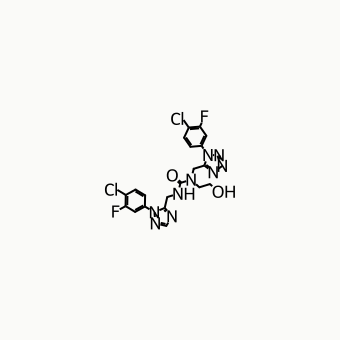 O=C(NCc1ncnn1-c1ccc(Cl)c(F)c1)N(CCO)Cc1nnnn1-c1ccc(Cl)c(F)c1